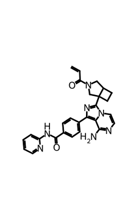 C=CC(=O)N1CC2CCC2(c2nc(-c3ccc(C(=O)Nc4ccccn4)cc3)c3c(N)nccn23)C1